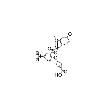 COc1ccc(CNS(=O)(=O)c2cc([N+](=O)[O-])ccc2OC2CN(C(=O)O)C2)c(OC)c1